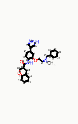 CN(CCOc1cc(-c2cn[nH]c2)ccc1NC(=O)C1COc2ccccc2C1)Cc1ccccc1